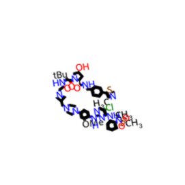 COc1cc(N2CCN(CC3CN(CC(=O)NC(C(=O)N4C[C@H](O)C[C@H]4C(=O)NCc4ccc(-c5scnc5C)cc4)C(C)(C)C)C3)CC2)ccc1Nc1ncc(Cl)c(Nc2ccccc2N(C)S(C)(=O)=O)n1